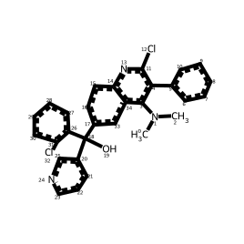 CN(C)c1c(-c2ccccc2)c(Cl)nc2ccc(C(O)(c3cccnc3)c3ccccc3Cl)cc12